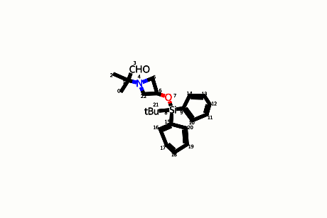 CC(C)(C=O)N1CC(O[Si](c2ccccc2)(c2ccccc2)C(C)(C)C)C1